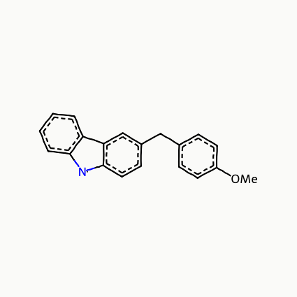 COc1ccc(Cc2ccc3c(c2)-c2ccccc2[N]3)cc1